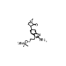 CN1CCC(c2ccc3c(c2)nc(N)n3CCCO[Si](C)(C)C(C)(C)C)C1=O